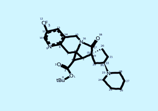 CC(C)(C)OC(=O)C1C2C13Cc1ncc(C(F)(F)F)cc1CN3C(=O)[C@]21CC[C@@H](N2CCCCC2)C1